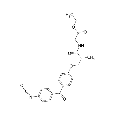 CCOC(=O)CNC(=O)C(C)COc1ccc(C(=O)c2ccc(N=C=O)cc2)cc1